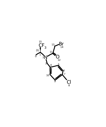 C[C@H](N(Cc1ccc(Cl)cc1)C(=O)CBr)C(F)(F)F